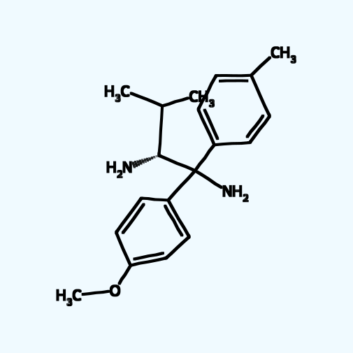 COc1ccc(C(N)(c2ccc(C)cc2)[C@H](N)C(C)C)cc1